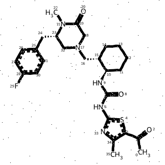 CC(=O)c1sc(NC(=O)N[C@@H]2CCCC[C@H]2CN2CC(=O)N(C)[C@@H](Cc3ccc(F)cc3)C2)nc1C